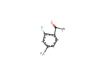 CCCC(=O)c1ccc(C(F)(F)F)cc1F